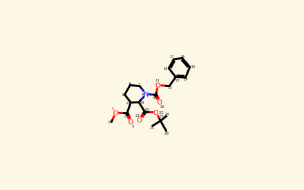 COC(=O)C1CCCN(C(=O)OCc2ccccc2)C1C(=O)OC(C)(C)C